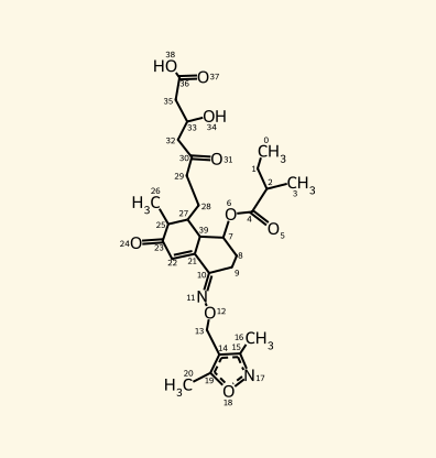 CCC(C)C(=O)OC1CC/C(=N\OCc2c(C)noc2C)C2=CC(=O)C(C)C(CCC(=O)CC(O)CC(=O)O)C21